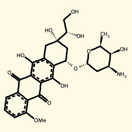 COc1cccc2c1C(=O)c1c(O)c3c(c(O)c1C2=O)C[C@@](O)([C@@H](O)CO)C[C@@H]3O[C@H]1C[C@H](N)[C@H](O)[C@H](C)O1